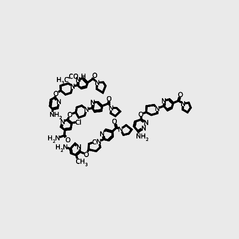 CC(=O)O.Cc1cc(N)cnc1OC1CCN(c2ccc(C(=O)N3CCCC3)cn2)CC1.NC(=O)c1cnc(OC2CCN(c3ccc(C(=O)N4CCCC4)cn3)CC2)c(Cl)c1.Nc1ccc(OC2CCN(c3ccc(C(=O)N4CCCC4)cn3)CC2)nc1.Nc1ccc(OC2CCN(c3ccc(C(=O)N4CCCC4)cn3)CC2)nn1